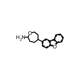 NC1CCC(c2ccc3oc4ccccc4c3c2)CCO1